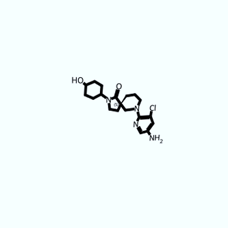 Nc1cnc(N2CCC[C@]3(CCN(C4CCC(O)CC4)C3=O)C2)c(Cl)c1